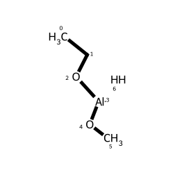 CC[O][Al][O]C.[HH]